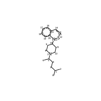 CC(C)CCC(C)N1CCC(N2SN=Cc3ccccc32)CC1